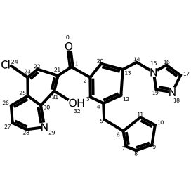 O=C(c1cc(Cc2ccccc2)cc(Cn2ccnc2)c1)c1cc(Cl)c2cccnc2c1O